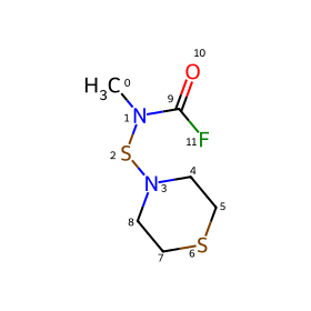 CN(SN1CCSCC1)C(=O)F